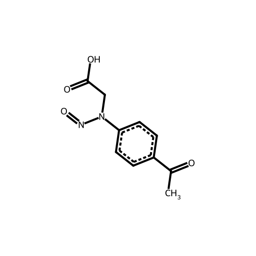 CC(=O)c1ccc(N(CC(=O)O)N=O)cc1